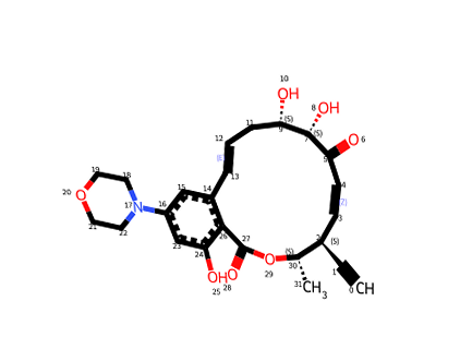 C#C[C@@H]1/C=C\C(=O)[C@@H](O)[C@@H](O)C/C=C/c2cc(N3CCOCC3)cc(O)c2C(=O)O[C@H]1C